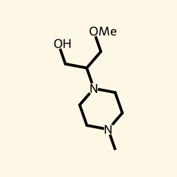 COCC(CO)N1CCN(C)CC1